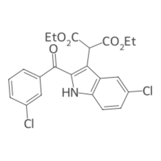 CCOC(=O)C(C(=O)OCC)c1c(C(=O)c2cccc(Cl)c2)[nH]c2ccc(Cl)cc12